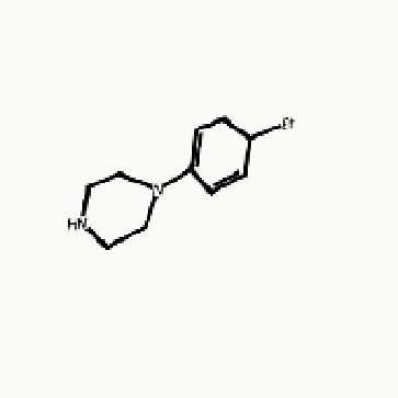 CCC1C=CC(N2CCNCC2)=CC1